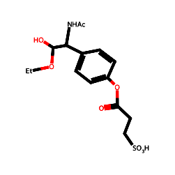 CCOC(O)C(NC(C)=O)c1ccc(OC(=O)CCS(=O)(=O)O)cc1